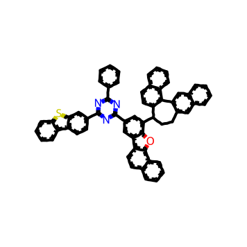 c1ccc(-c2nc(-c3ccc4c(c3)sc3ccccc34)nc(-c3cc(C4CCc5cc6ccccc6cc5-c5c4ccc4ccccc54)c4oc5c6ccccc6ccc5c4c3)n2)cc1